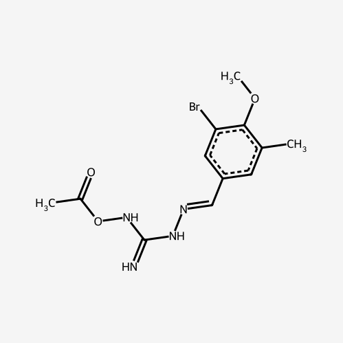 COc1c(C)cc(C=NNC(=N)NOC(C)=O)cc1Br